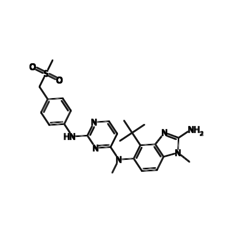 CN(c1ccnc(Nc2ccc(CS(C)(=O)=O)cc2)n1)c1ccc2c(nc(N)n2C)c1C(C)(C)C